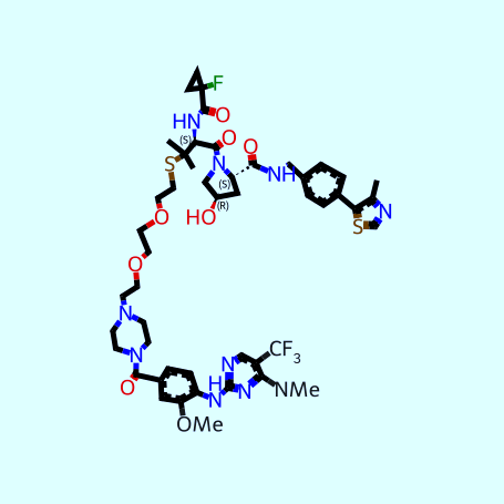 CNc1nc(Nc2ccc(C(=O)N3CCN(CCOCCOCCSC(C)(C)[C@@H](NC(=O)C4(F)CC4)C(=O)N4C[C@H](O)C[C@H]4C(=O)NCc4ccc(-c5scnc5C)cc4)CC3)cc2OC)ncc1C(F)(F)F